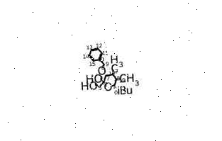 CC[C@@H](C)C1O[C@@](O)(CO)C(OCc2ccccc2)[C@@H](C)[C@@H]1C